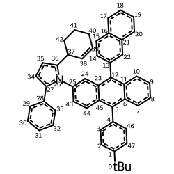 CC(C)(C)c1ccc(-c2c3ccccc3c(-c3ccc4ccccc4c3)c3cc(-n4c(-c5ccccc5)ccc4C4C=CCCC4)ccc23)cc1